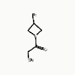 CC(C)C1CN(C(=O)CC(C)(C)C)C1